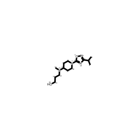 CC(C)c1noc(N2CCC(N(C)CCCO)CC2)n1